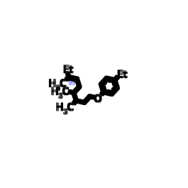 CC/C(C)=C/CC(C)C(C)CCOc1ccc(CC)cc1